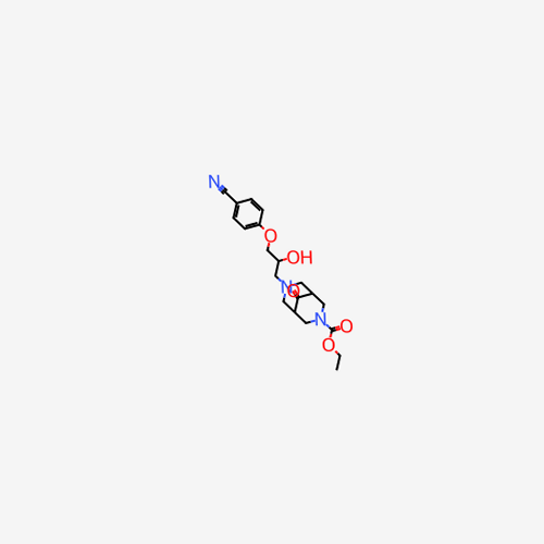 CCOC(=O)N1CC2CN(CC(O)COc3ccc(C#N)cc3)CC(C1)C2=O